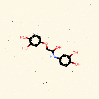 Oc1ccc(NC(O)COc2ccc(O)c(O)c2)cc1O